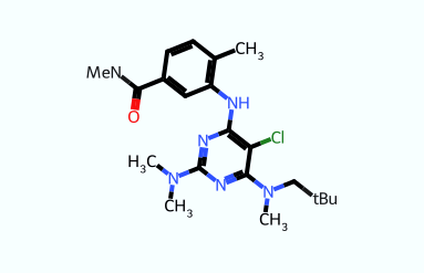 CNC(=O)c1ccc(C)c(Nc2nc(N(C)C)nc(N(C)CC(C)(C)C)c2Cl)c1